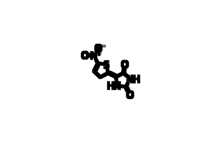 O=C1NC(=O)C(=C2CC=C([N+](=O)[O-])S2)N1